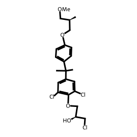 COC[C@@H](C)COc1ccc(C(C)(C)c2cc(Cl)c(OC[C@H](O)CCl)c(Cl)c2)cc1